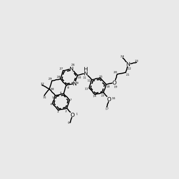 COc1ccc2c(c1)-c1nc(Nc3ccc(OC)c(OCCN(C)C)c3)ncc1CC2(C)C